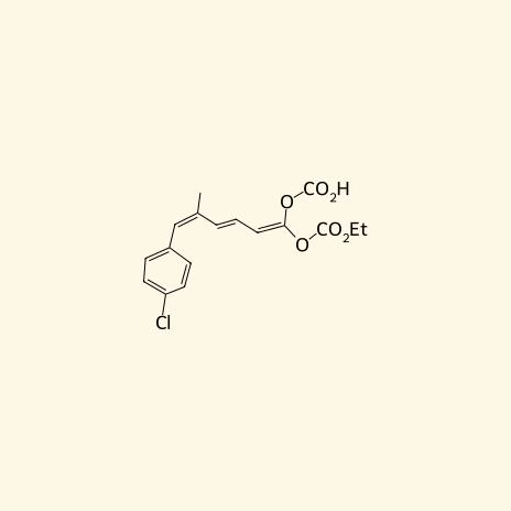 CCOC(=O)OC(=CC=CC(C)=Cc1ccc(Cl)cc1)OC(=O)O